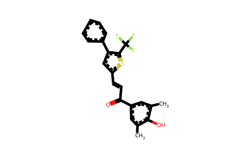 Cc1cc(C(=O)C=Cc2cc(-c3ccccc3)c(C(F)(F)F)s2)cc(C)c1O